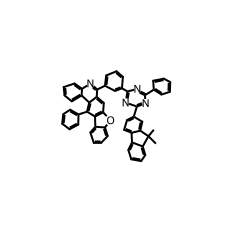 CC1(C)c2ccccc2-c2ccc(-c3nc(-c4ccccc4)nc(-c4cccc(-c5nc6ccccc6c6c(-c7ccccc7)c7c(cc56)oc5ccccc57)c4)n3)cc21